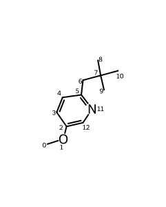 COc1ccc(CC(C)(C)C)nc1